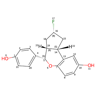 Oc1ccc([C@H]2Oc3ccc(O)cc3[C@H]3C[C@@H](F)C[C@H]32)cc1